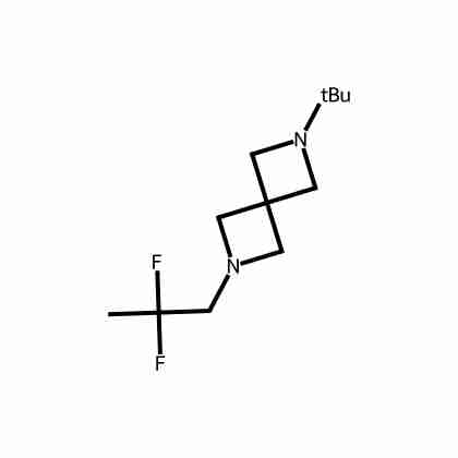 CC(F)(F)CN1CC2(C1)CN(C(C)(C)C)C2